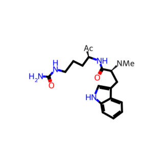 CN[C@@H](Cc1c[nH]c2ccccc12)C(=O)N[C@@H](CCCNC(N)=O)C(C)=O